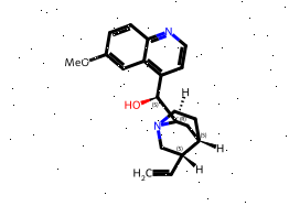 C=C[C@@H]1CN2CC[C@H]1C[C@@H]2[C@@H](O)c1ccnc2ccc(OC)cc12